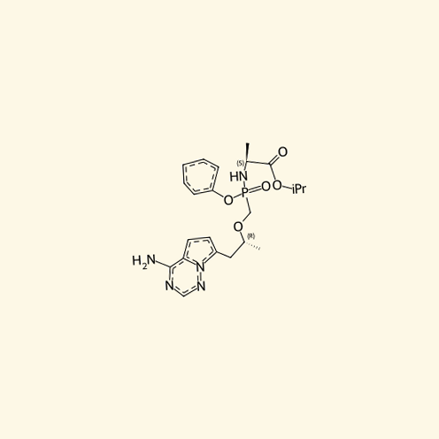 CC(C)OC(=O)[C@H](C)NP(=O)(CO[C@H](C)Cc1ccc2c(N)ncnn12)Oc1ccccc1